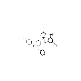 CC[C@@H]1C[C@H](N(Cc2cc(C(F)(F)F)cc(C(F)(F)F)c2)c2ncc(Br)cn2)C[C@H](Cc2ccccc2)N1C(=O)[C@H]1CC[C@@H](O)CC1